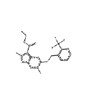 CCOC(=O)c1c(C)oc2cc(C)c(OCc3cccnc3C(F)(F)F)cc12